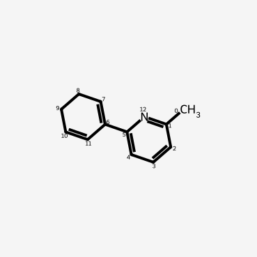 Cc1cccc(C2=CCCC=C2)n1